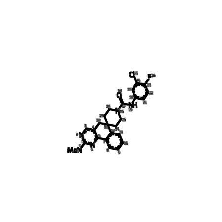 CNc1ncc2c(n1)-c1ccccc1C1(CCN(C(=O)Nc3ccc(F)c(Cl)c3)CC1)C2